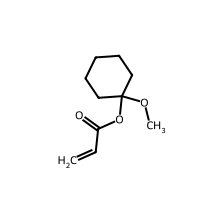 C=CC(=O)OC1(OC)CCCCC1